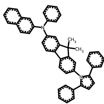 CC1(C)c2cc(N(c3ccccc3)c3ccc4ccccc4c3)ccc2-c2ccc(-n3c(-c4ccccc4)ccc3-c3ccccc3)cc21